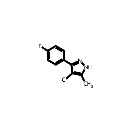 Cc1[nH]nc(-c2ccc(F)cc2)c1Cl